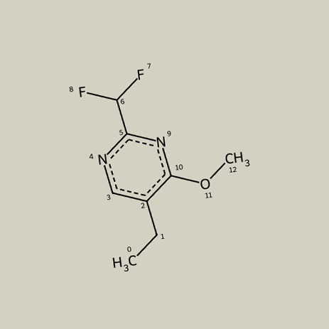 CCc1cnc(C(F)F)nc1OC